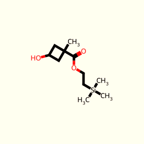 CC1(C(=O)OCC[Si](C)(C)C)CC(O)C1